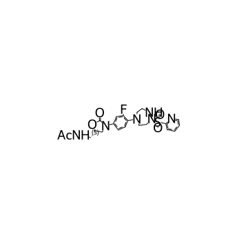 CC(=O)NC[C@H]1CN(c2ccc(N3CCNN(S(=O)(=O)c4ccccn4)CC3)c(F)c2)C(=O)O1